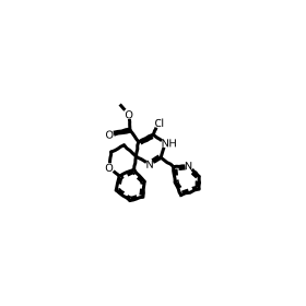 COC(=O)C1=C(Cl)NC(c2ccccn2)=NC12CCOc1ccccc12